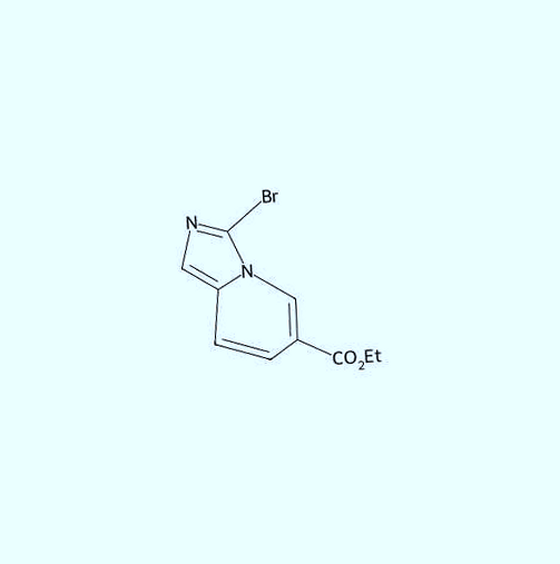 CCOC(=O)c1ccc2cnc(Br)n2c1